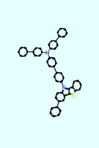 c1ccc(-c2ccc(N(c3ccc(-c4ccccc4)cc3)c3ccc(-c4ccc(-n5c6ccc(-c7ccccc7)cc6c6sc7ccccc7c65)cc4)cc3)cc2)cc1